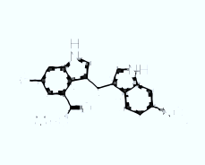 COC(=O)c1cc(Br)cc2[nH]cc(Cc3c[nH]c4cc([N+](=O)[O-])ccc34)c12